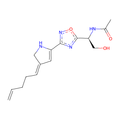 C=CCC/C=C1/C=C(c2noc([C@H](CO)NC(C)=O)n2)NC1